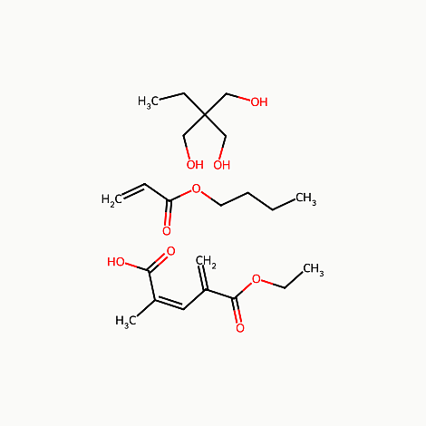 C=C(C=C(C)C(=O)O)C(=O)OCC.C=CC(=O)OCCCC.CCC(CO)(CO)CO